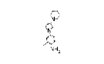 Cc1cc(-n2ccc(N3CCCCC3)c2)ccc1N